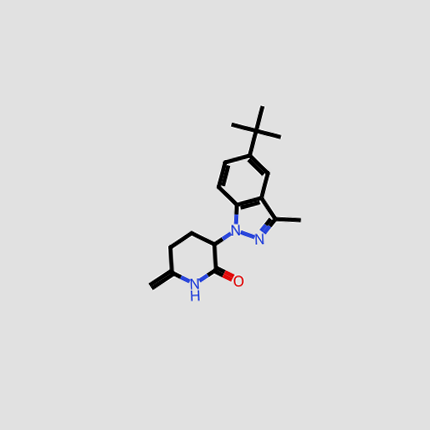 C=C1CCC(n2nc(C)c3cc(C(C)(C)C)ccc32)C(=O)N1